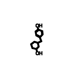 Oc1ccc(CC2CCCC(O)C2)cc1